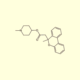 CN1CCC(OC(=O)CC2(C)Oc3ccccc3-c3ccccc32)CC1